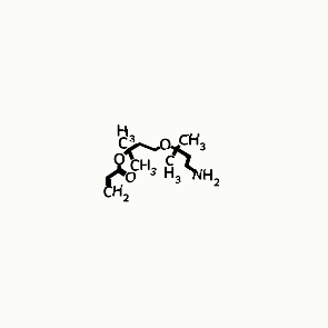 C=CC(=O)OC(C)(C)CCOC(C)(C)CCN